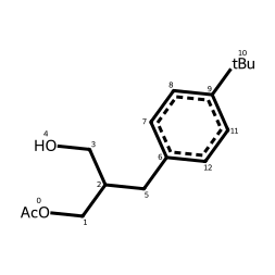 CC(=O)OCC(CO)Cc1ccc(C(C)(C)C)cc1